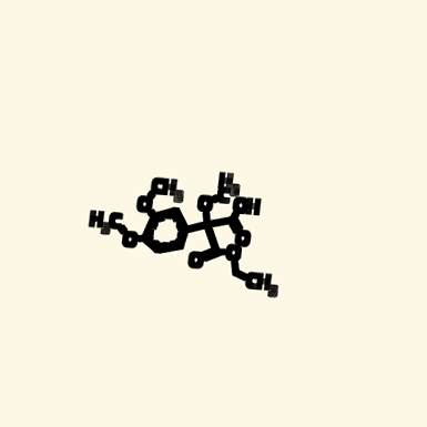 CCOC(=O)C(OC)(C(=O)O)c1ccc(OC)c(OC)c1